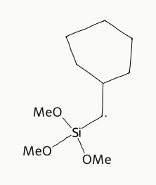 CO[Si]([CH]C1CCCCC1)(OC)OC